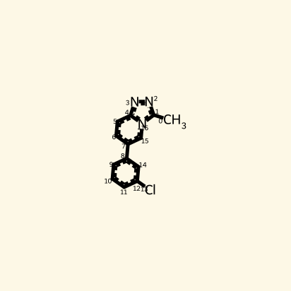 Cc1nnc2ccc(-c3cccc(Cl)c3)cn12